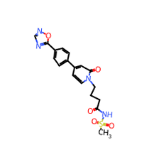 CS(=O)(=O)NC(=O)CCCn1ccc(-c2ccc(-c3ncno3)cc2)cc1=O